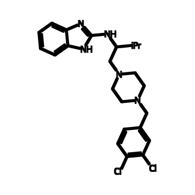 CC(C)C(CN1CCN(Cc2ccc(Cl)c(Cl)c2)CC1)Nc1nc2ccccc2[nH]1